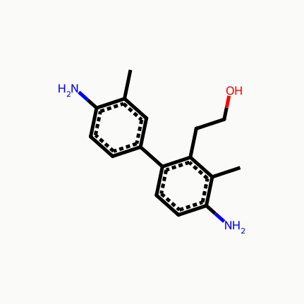 Cc1cc(-c2ccc(N)c(C)c2CCO)ccc1N